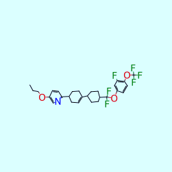 CCCOc1ccc(C2CC=C(C3CCC(C(F)(F)Oc4ccc(OC(F)(F)F)c(F)c4)CC3)CC2)nc1